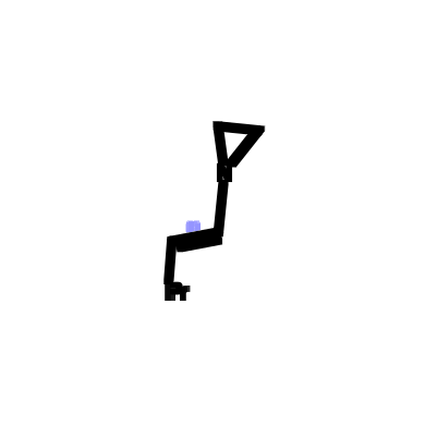 CC(C)/C=C/N1CC1